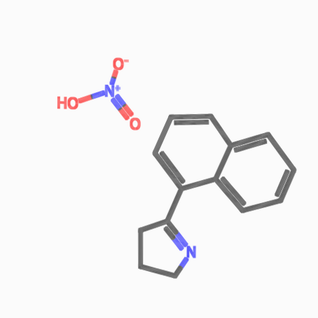 O=[N+]([O-])O.c1ccc2c(C3=NCCC3)cccc2c1